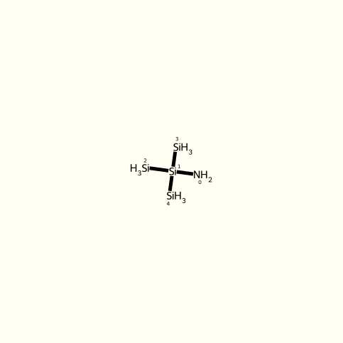 N[Si]([SiH3])([SiH3])[SiH3]